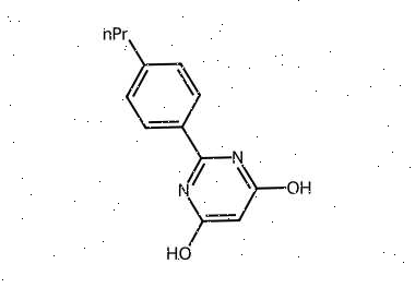 CCCc1ccc(-c2nc(O)cc(O)n2)cc1